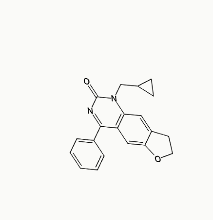 O=c1nc(-c2ccccc2)c2cc3c(cc2n1CC1CC1)CCO3